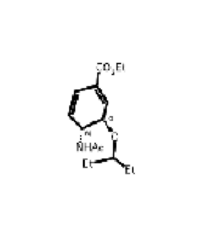 CCOC(=O)C1=C[C@@H](OC(CC)CC)[C@H](NC(C)=O)C=C1